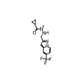 CN(NCc1cc2cc(C(F)(F)F)ccn2n1)C(=O)C1CC1